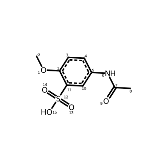 COc1ccc(NC(C)=O)cc1S(=O)(=O)O